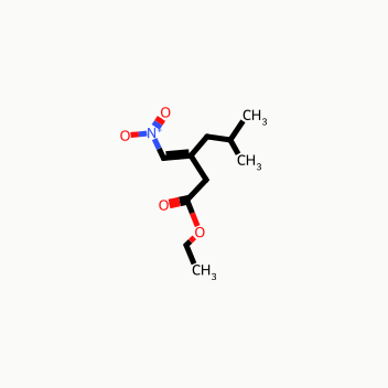 CCOC(=O)CC(=C[N+](=O)[O-])CC(C)C